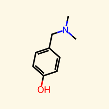 CN(C)Cc1ccc(O)cc1